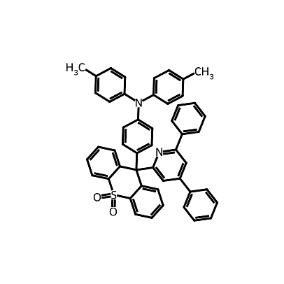 Cc1ccc(N(c2ccc(C)cc2)c2ccc(C3(c4cc(-c5ccccc5)cc(-c5ccccc5)n4)c4ccccc4S(=O)(=O)c4ccccc43)cc2)cc1